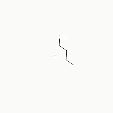 Br.CCC[CH2][AlH2]